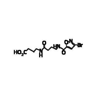 O=C(O)CCCNC(=O)CCCNC(=O)c1cc(Br)no1